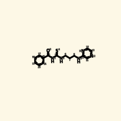 O=C(NC(=S)NCCCNc1cnccn1)c1ccccc1